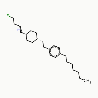 CCCCCCCc1ccc(CC[C@H]2CC[C@H](/C=C/CCF)CC2)cc1